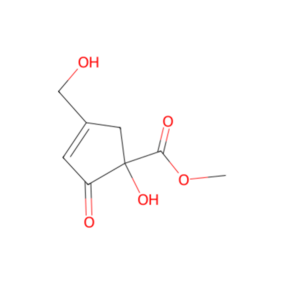 COC(=O)C1(O)CC(CO)=CC1=O